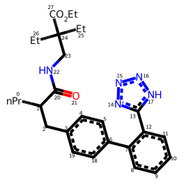 CCCC(Cc1ccc(-c2ccccc2-c2nnn[nH]2)cc1)C(=O)NCC(CC)(CC)C(=O)OCC